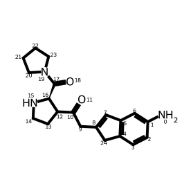 Nc1ccc2c(c1)C=C(CC(=O)C1CCN[C@H]1C(=O)N1CCCC1)C2